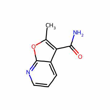 Cc1oc2ncccc2c1C(N)=O